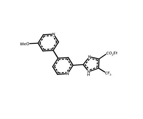 CCOC(=O)c1nc(-c2cc(-c3cncc(OC)c3)ccn2)[nH]c1C(F)(F)F